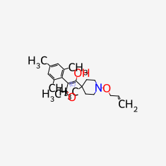 C=CCON1CCC(C)(/C(O)=C(\C(C)=O)c2c(C)cc(C)cc2C)CC1